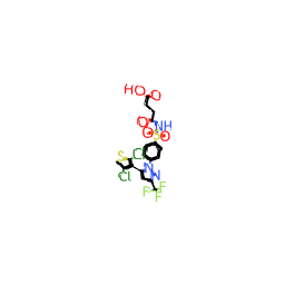 O=C(O)CCC(=O)NS(=O)(=O)c1ccc(-n2nc(C(F)(F)F)cc2-c2c(Cl)csc2Cl)cc1